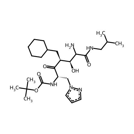 CC(C)CNC(=O)C(N)[C@@H](O)[C@H](CC1CCCCC1)C(=O)[C@H](Cn1cccn1)NC(=O)OC(C)(C)C